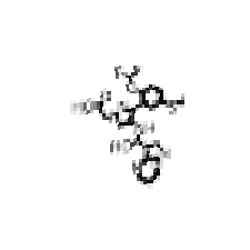 O=C(O)Cn1cc(NC(O)c2cnn3cccnc23)c(-c2cc(SI)ccc2OC(F)F)n1